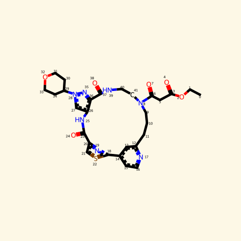 CCOC(=O)CC(=O)N1CCCc2cc(ccn2)-c2nc(cs2)C(=O)Nc2cn(C3CCOCC3)nc2C(=O)NCC1